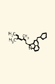 C=C/C(C)=C\C(C)=C/CC1=Nc2cccc3cc(CC4CCCC4)cc1c23